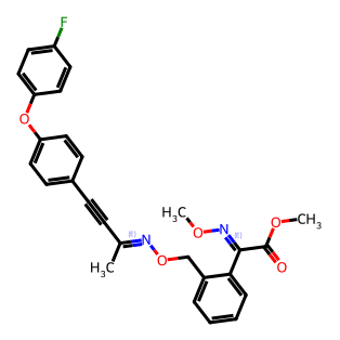 CO/N=C(/C(=O)OC)c1ccccc1CO/N=C(\C)C#Cc1ccc(Oc2ccc(F)cc2)cc1